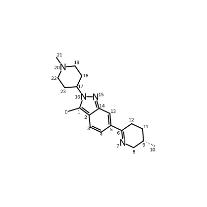 Cc1c2ccc(C3=NC[C@@H](C)CC3)cc2nn1C1CCN(C)CC1